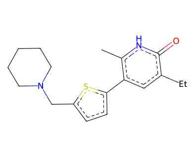 CCc1cc(-c2ccc(CN3CCCCC3)s2)c(C)[nH]c1=O